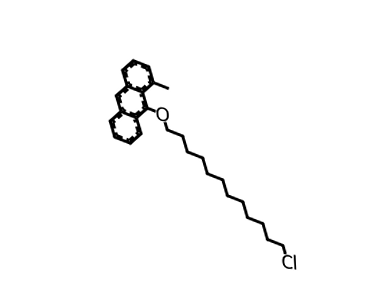 Cc1cccc2cc3ccccc3c(OCCCCCCCCCCCCCl)c12